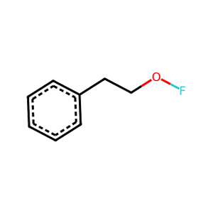 FOCCc1ccccc1